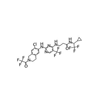 O=C(CCNc1nc(Nc2cc3c(cc2Cl)CN(C(=O)C(F)(F)F)CC3)ncc1C(F)(F)F)N[C@@H](C1CC1)C(F)(F)F